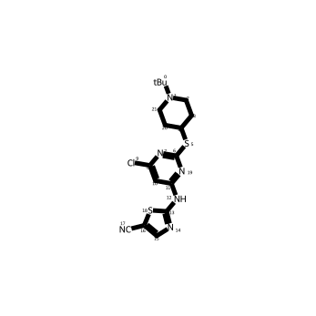 CC(C)(C)N1CCC(Sc2nc(Cl)cc(Nc3ncc(C#N)s3)n2)CC1